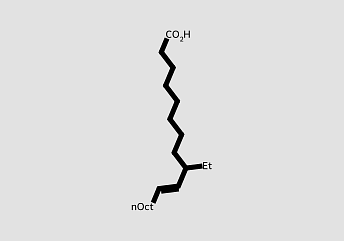 CCCCCCCCC=CC(CC)CCCCCCCC(=O)O